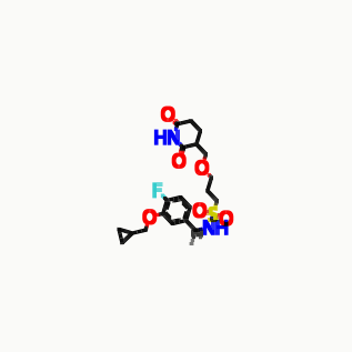 C[C@@H](NS(=O)(=O)CCCOCC1CCC(=O)NC1=O)c1ccc(F)c(OCC2CC2)c1